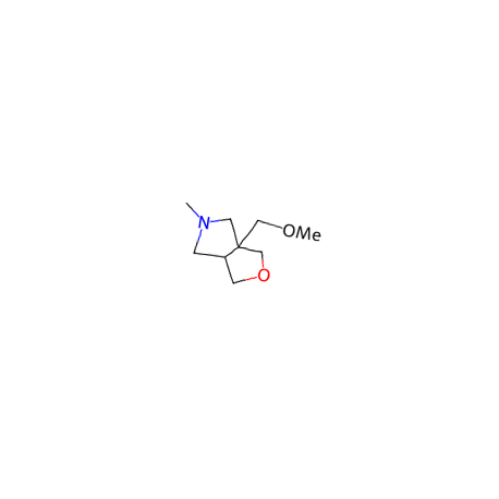 COCC12COCC1CN(C)C2